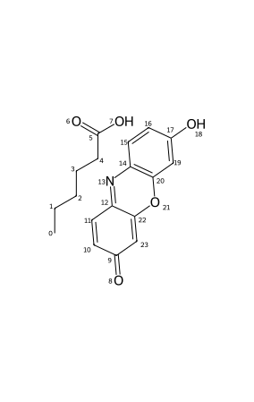 CCCCCC(=O)O.O=c1ccc2nc3ccc(O)cc3oc-2c1